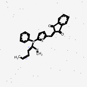 C=N/C(=C\C=C/C)N(c1ccccc1)c1ccc(C=C2C(=O)c3ccccc3C2=O)s1